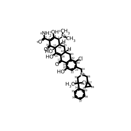 CN(C)[C@@H]1C(O)=C(C(N)=O)C(=O)[C@@]2(O)C(O)=C3C(=O)c4c(O)cc(CN(CC5CC5)CC(C)(C)c5ccccc5)c(Cl)c4C[C@H]3C[C@@H]12